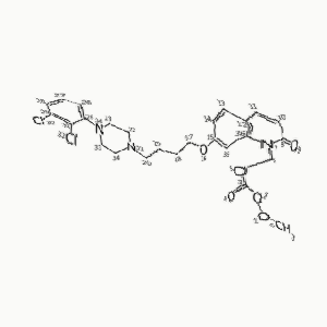 COOC(=O)OCn1c(=O)ccc2ccc(OCCCCN3CCN(c4cccc(Cl)c4Cl)CC3)cc21